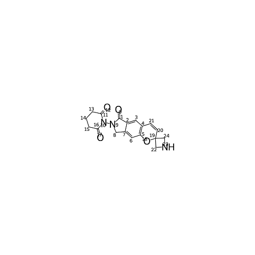 O=C1c2cc3c(cc2CN1N1C(=O)CCCC1=O)OC1(C=C3)CNC1